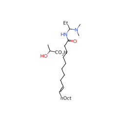 CC(O)C(=O)O.CCCCCCCCC=CCCCCCCCC(=O)NC(CC)N(C)C